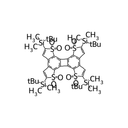 CC(C)(C)[Si](C)(C)C1=Cc2c3c(c4c(c2S1(=O)=O)-c1c-4c2c(c4c1S(=O)(=O)C([Si](C)(C)C(C)(C)C)=C4)C=C([Si](C)(C)C(C)(C)C)S2(=O)=O)S(=O)(=O)C([Si](C)(C)C(C)(C)C)=C3